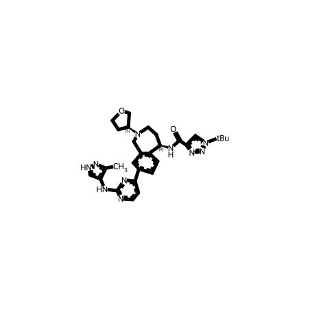 Cc1n[nH]cc1Nc1nccc(-c2ccc3c(c2)CN([C@H]2CCOC2)CC[C@H]3NC(=O)c2cn(C(C)(C)C)nn2)n1